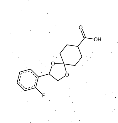 O=C(O)C1CCC2(CC1)OCC(c1ccccc1F)O2